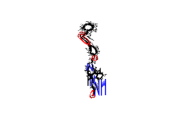 O=C1CN2c3c(cccc3[C@@H]3CN(CCCOc4ccc(OCc5ccccc5)cc4)CC[C@@H]32)N1